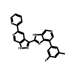 Cc1cc(F)cc(-c2cncc3[nH]c(-c4n[nH]c5cnc(-c6ccccn6)cc45)nc23)c1